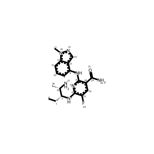 CC[C@@H](Nc1nc(Nc2cccc3c2cnn3C)c(C(N)=O)cc1F)[C@H](C)N